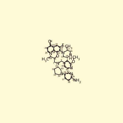 COc1cc(CN(CC2Oc3c(N4CCNCC4C)c(F)cc4c(=O)ccn(c34)C2C)[C@H]2CCCN(c3ccc(N)nc3)C2)ccn1